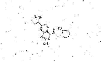 Nc1nc(NC[C@@H]2CCCC[C@@H]2O)c2ccc(-c3ccn[nH]3)cc2n1